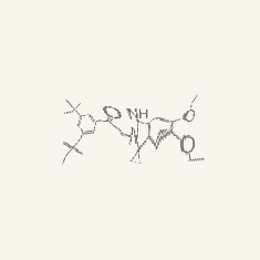 CCOc1cc2c(cc1OCC)C1(CC1)N(CC(=O)c1cc(C(C)(C)C)cc(C(C)(C)C)c1)C2=N